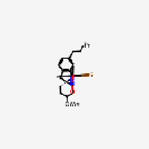 CO[C@H]1CC[C@]2(CC1)Cc1ccc(CCC(C)C)cc1C21NC(=S)NC1=O